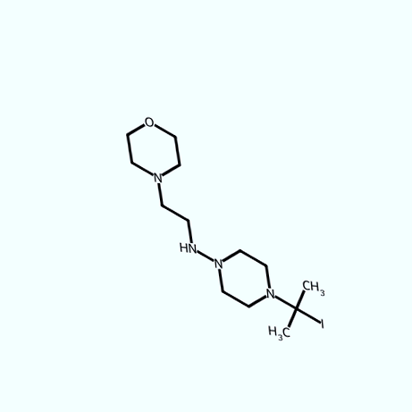 CC(C)(I)N1CCN(NCCN2CCOCC2)CC1